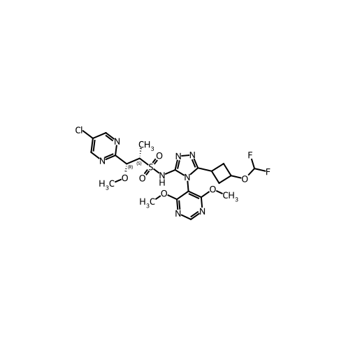 COc1ncnc(OC)c1-n1c(NS(=O)(=O)[C@@H](C)[C@H](OC)c2ncc(Cl)cn2)nnc1C1CC(OC(F)F)C1